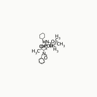 CC(C)C(CP(=O)(O)C(CC1CCCCC1)NC(=O)OC(C)(C)C)N(C=O)Cc1ccccc1